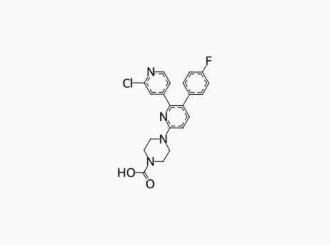 O=C(O)N1CCN(c2ccc(-c3ccc(F)cc3)c(-c3ccnc(Cl)c3)n2)CC1